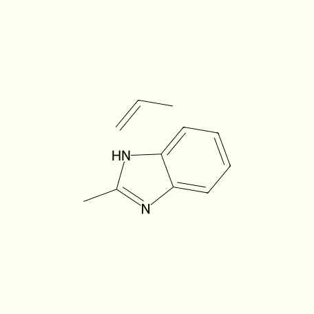 C=CC.Cc1nc2ccccc2[nH]1